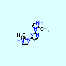 C[C@@H]1NC=CN1c1ccnc(N2C=CN[C@@H]2C)n1